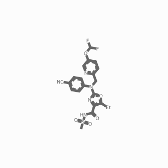 CCc1oc(N(Cc2ccc(OC(F)F)cn2)c2ccc(C#N)cc2)nc1C(=O)NS(C)(=O)=O